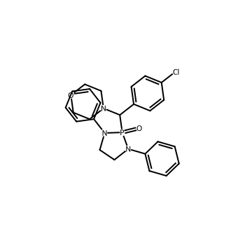 O=P1(C(c2ccc(Cl)cc2)N2CCOCC2)N(c2ccccc2)CCN1c1ccccc1